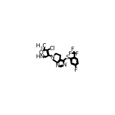 CC(=O)/C(Cl)=C(\C=N)N1CCc2c(ncnc2Sc2cc(F)ccc2C(F)(F)F)C1